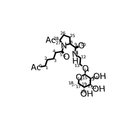 CC(=O)CCCCC(=O)N1C(C(=O)NCCO[C@@H]2O[C@@H](C)[C@@H](O)[C@@H](O)[C@@H]2O)CC[C@H]1C(C)=O